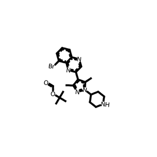 CC(C)(C)OC=O.Cc1nn(C2CCNCC2)c(C)c1-c1cnc2cccc(Br)c2n1